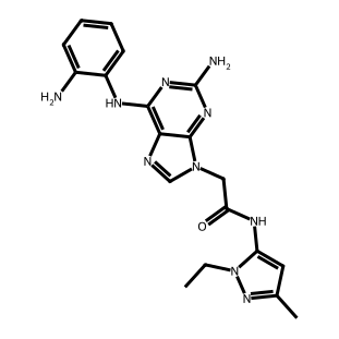 CCn1nc(C)cc1NC(=O)Cn1cnc2c(Nc3ccccc3N)nc(N)nc21